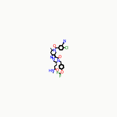 CNC(=O)CC[C@H]1Cn2nc3c(c2C(=O)N1Cc1ccc(OC(F)F)cc1)CN(C(=O)c1ccc(Cl)c(C#N)c1)[C@H](C)C3